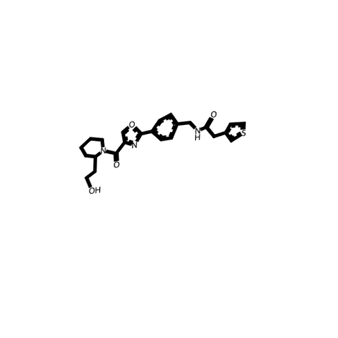 O=C(Cc1ccsc1)NCc1ccc(-c2nc(C(=O)N3CCCCC3CCO)co2)cc1